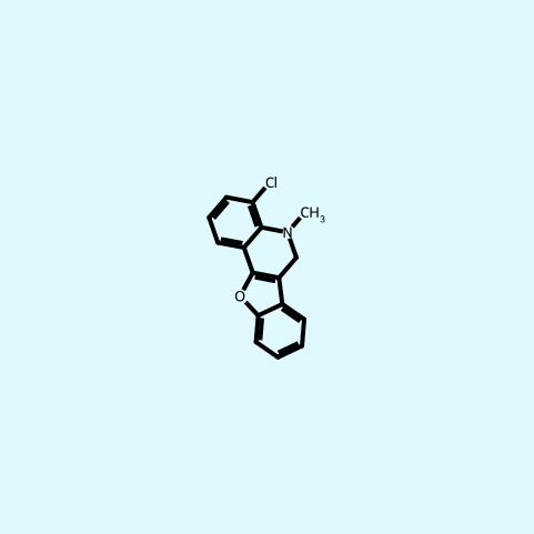 CN1Cc2c(oc3ccccc23)-c2cccc(Cl)c21